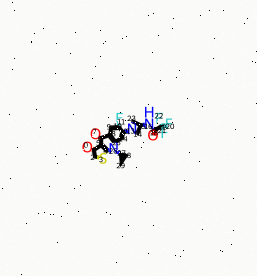 O=C1CSc2c1c(=O)c1cc(F)c(N3CC(NC(=O)C(F)(F)F)C3)cc1n2C1CC1